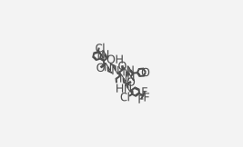 CCc1c(N2CCN(C(=O)c3c(O)nn4c(Cl)cccc34)CC2)c(=O)n2nc(C3=CCOCC3)nc2n1CC(=O)Nc1ccc(C(F)(F)F)cc1Cl